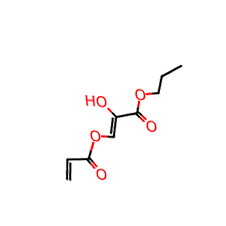 C=CC(=O)OC=C(O)C(=O)OCCC